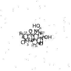 O=C(Nc1nc(CO)n2c1C(c1cc(F)ccc1Cl)NC(O)C2)c1cc(F)cc(C(F)(F)F)c1